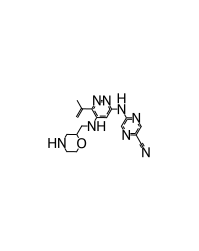 C=C(C)c1nnc(Nc2cnc(C#N)cn2)cc1NCC1CNCCO1